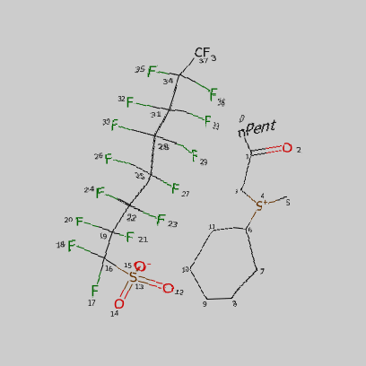 CCCCCC(=O)C[S+](C)C1CCCCC1.O=S(=O)([O-])C(F)(F)C(F)(F)C(F)(F)C(F)(F)C(F)(F)C(F)(F)C(F)(F)C(F)(F)F